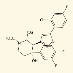 CC(C)(C)C1[C@@H](c2cc(-c3ccc(F)cc3Cl)on2)[C@@](O)(c2ccc(F)c(F)c2)CCN1C(=O)O